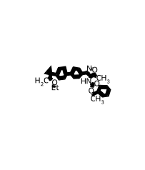 C=C(OCC)C1(c2ccc(-c3ccc(-c4noc(C)c4NC(=O)O[C@H](C)c4ccccc4)cc3)cc2)CC1